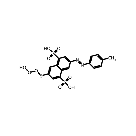 Cc1ccc(N=Nc2cc(S(=O)(=O)O)c3cc(SOOO)cc(S(=O)(=O)O)c3c2)cc1